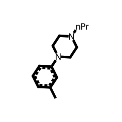 CCCN1CCN(c2cccc(C)c2)CC1